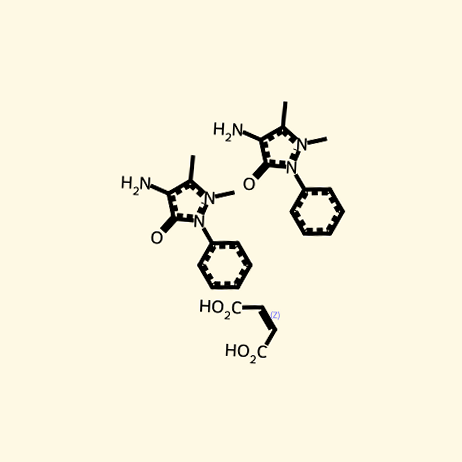 Cc1c(N)c(=O)n(-c2ccccc2)n1C.Cc1c(N)c(=O)n(-c2ccccc2)n1C.O=C(O)/C=C\C(=O)O